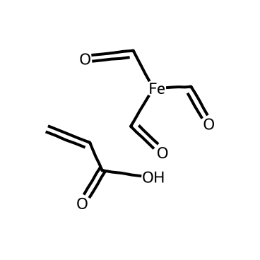 C=CC(=O)O.O=[CH][Fe]([CH]=O)[CH]=O